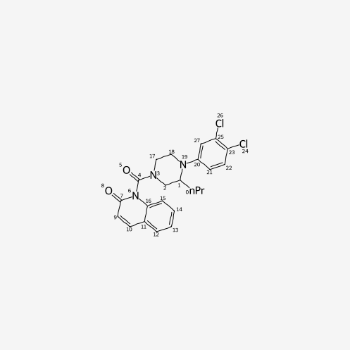 CCCC1CN(C(=O)n2c(=O)ccc3ccccc32)CCN1c1ccc(Cl)c(Cl)c1